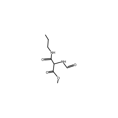 CCCNC(=O)C(NC=O)C(=O)OC